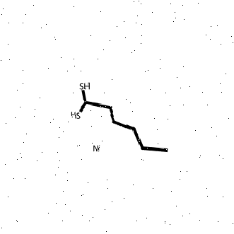 CCCCCC(S)S.[Ni]